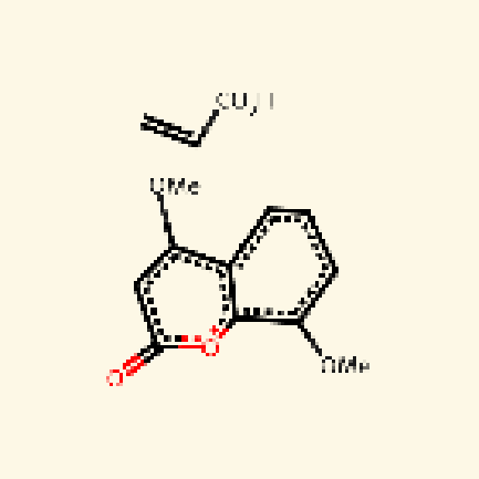 C=CC(=O)O.COc1cc(=O)oc2c(OC)cccc12